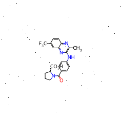 Cc1nc2ccc(C(F)(F)F)cc2nc1Nc1ccc(C(=O)N2CCCC2C(=O)O)cc1